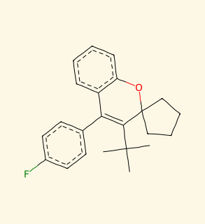 CC(C)(C)C1=C(c2ccc(F)cc2)c2ccccc2OC12CCCC2